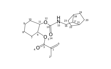 C=C(C)C(=O)OC1CCCCC1OC(=O)NCC1C2CCC1CC2